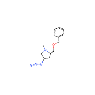 CN1C[C@H](N=[N+]=[N-])C[C@@H]1COCc1ccccc1